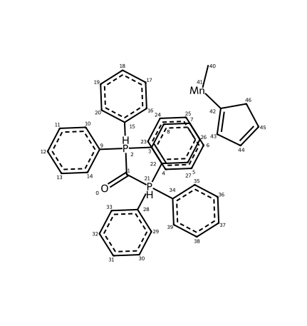 O=C([PH](c1ccccc1)(c1ccccc1)c1ccccc1)[PH](c1ccccc1)(c1ccccc1)c1ccccc1.[CH3][Mn][C]1=CC=CC1